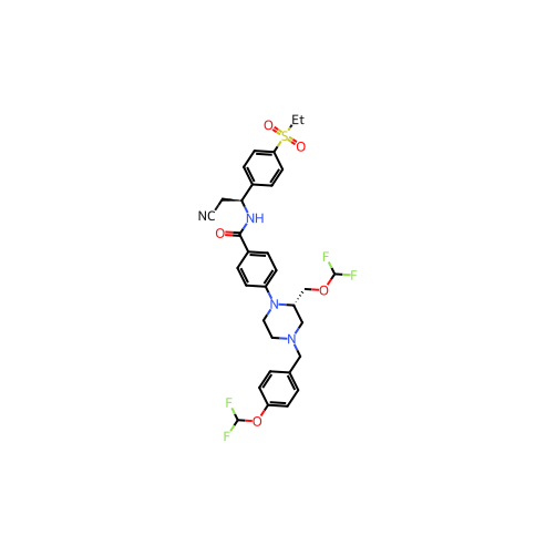 CCS(=O)(=O)c1ccc([C@H](CC#N)NC(=O)c2ccc(N3CCN(Cc4ccc(OC(F)F)cc4)C[C@H]3COC(F)F)cc2)cc1